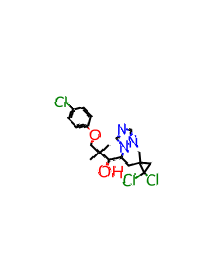 CC(C)(COc1ccc(Cl)cc1)C(O)C(CC1(C)CC1(Cl)Cl)n1cncn1